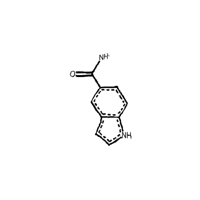 [NH]C(=O)c1ccc2[nH]ccc2c1